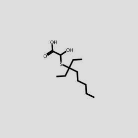 CCCCCC(CC)(CC)SC(O)C(=O)O